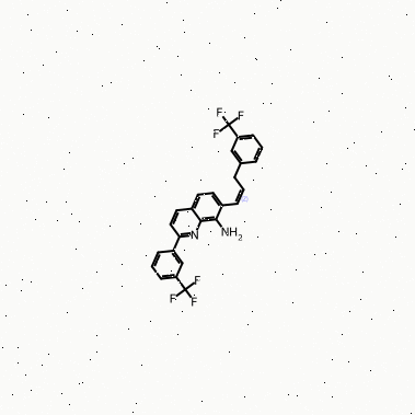 Nc1c(/C=C\Cc2cccc(C(F)(F)F)c2)ccc2ccc(-c3cccc(C(F)(F)F)c3)nc12